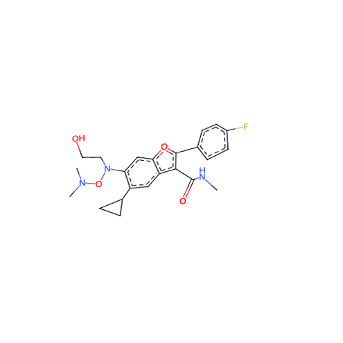 CNC(=O)c1c(-c2ccc(F)cc2)oc2cc(N(CCO)ON(C)C)c(C3CC3)cc12